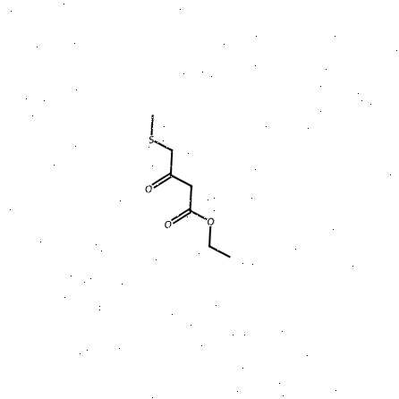 CCOC(=O)CC(=O)CSC